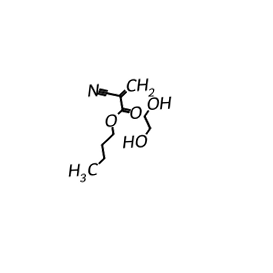 C=C(C#N)C(=O)OCCCC.OCCO